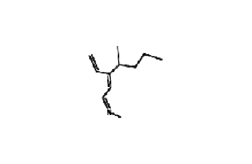 C=C/C(=C\C=N/C)C(C)CCC